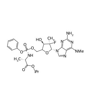 CNc1nc(N)nc2c1ncn2[C@@H]1OC(CO[P@@](=O)(N[C@@H](C)C(=O)OC(C)C)Oc2ccccc2)[C@@H](O)[C@@]1(C)F